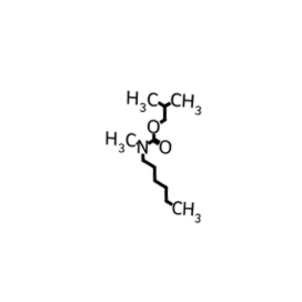 CCCCCCN(C)C(=O)OCC(C)C